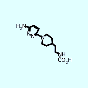 Nc1ccc(N2CCC(CCNC(=O)O)CC2)nn1